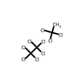 CC(Cl)(Cl)Cl.ClC(Cl)(Cl)C(Cl)(Cl)Cl